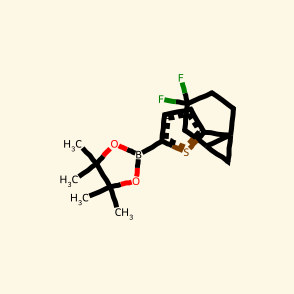 CC1(C)OB(c2ccc(C34CCC(F)(F)CC3C4)s2)OC1(C)C